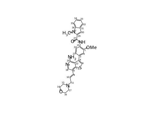 COc1cc(-c2csc3c(C=CCN4CCOCC4)cnc(N)c23)ccc1NC(=O)c1cc2ccccc2n1C